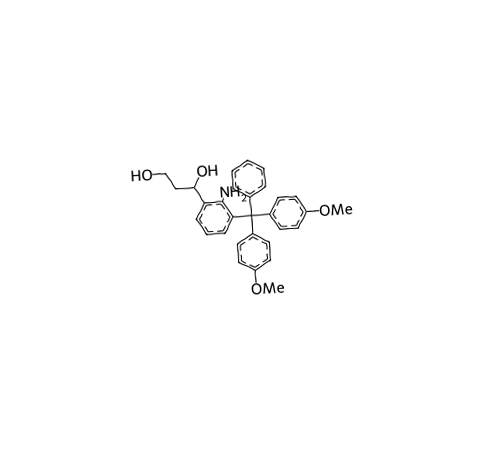 COc1ccc(C(c2ccccc2)(c2ccc(OC)cc2)c2cccc(C(O)CCO)c2N)cc1